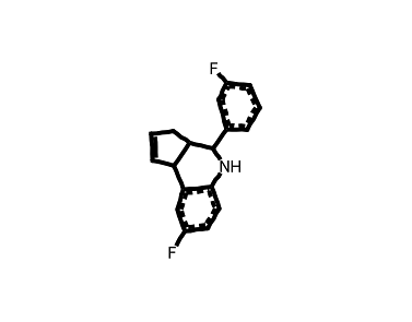 Fc1cccc(C2Nc3ccc(F)cc3C3C=CCC32)c1